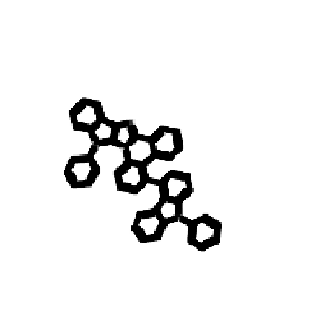 c1ccc(-n2c3ccccc3c3c(-c4cccc5c4c4ccccc4c4nc6c7ccccc7n(-c7ccccc7)c6n54)cccc32)cc1